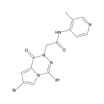 Cc1cnccc1NC(=O)Cn1nc(C(C)C)n2cc(Br)cc2c1=O